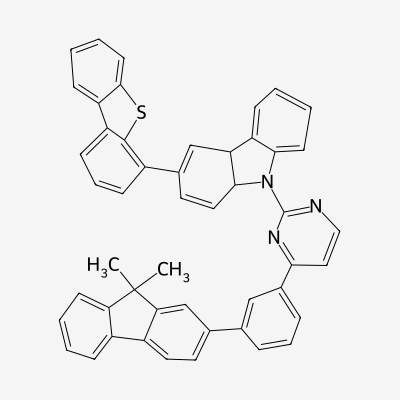 CC1(C)c2ccccc2-c2ccc(-c3cccc(-c4ccnc(N5c6ccccc6C6C=C(c7cccc8c7sc7ccccc78)C=CC65)n4)c3)cc21